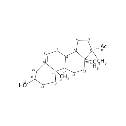 CC(=O)[C@@]1(C)CCC2C3CC=C4CC(O)CCC4(C)C3CCC21C